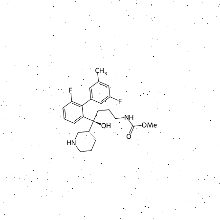 COC(=O)NCCC[C@@](O)(c1cccc(F)c1-c1cc(C)cc(F)c1)[C@@H]1CCCNC1